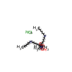 CCCCCCCC/C=C\CCCCCCCC(=O)C(C)(C(=O)CCCCCCC/C=C\CCCCCCCC)N(C)C(C)O.Cl